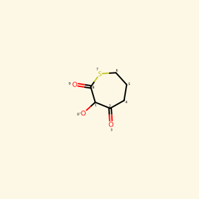 [O]C1C(=O)CCCSC1=O